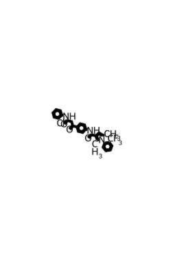 Cc1cc(C(=O)Nc2ccc(C(=O)CC(=O)Nc3ccccc3Cl)cc2)c(C)n1-c1ccccc1C(F)(F)F